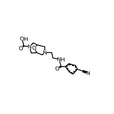 N#Cc1ccc(C(=O)NCCN2CC3CN(C(=O)O)CC(C2)O3)cc1